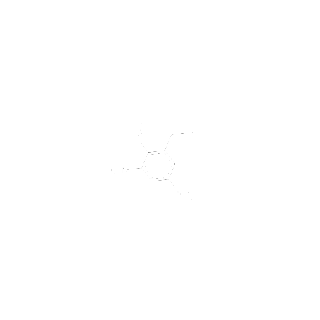 O=Ic1c(CC(=O)O)cc([N+](=O)[O-])cc1[N+](=O)[O-]